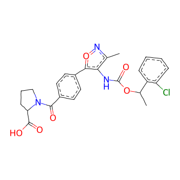 Cc1noc(-c2ccc(C(=O)N3CCCC3C(=O)O)cc2)c1NC(=O)OC(C)c1ccccc1Cl